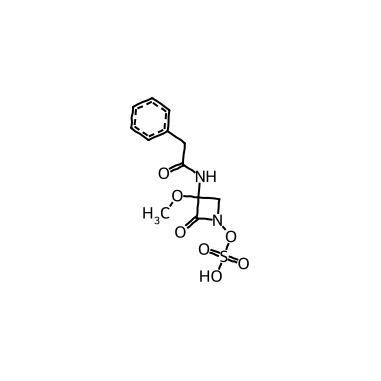 COC1(NC(=O)Cc2ccccc2)CN(OS(=O)(=O)O)C1=O